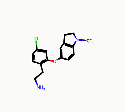 NCCc1ccc(Cl)cc1Oc1ccc2c(c1)CCN2C(F)(F)F